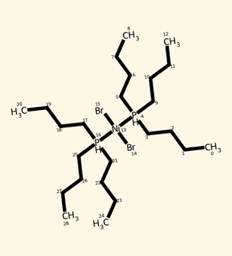 CCCC[PH](CCCC)(CCCC)[Ni]([Br])([Br])[PH](CCCC)(CCCC)CCCC